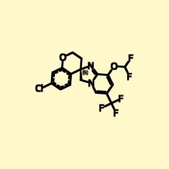 FC(F)OC1=CC(C(F)(F)F)=CN2C[C@@]3(CCOc4cc(Cl)ccc43)N=C12